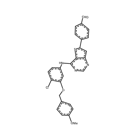 COc1ccc(COc2cc(Nc3ncnc4cc(-c5ccc(C=O)cc5)sc34)ccc2Cl)cc1